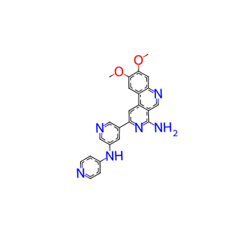 COc1cc2ncc3c(N)nc(-c4cncc(Nc5ccncc5)c4)cc3c2cc1OC